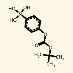 CC(C)(C)OC(=O)Oc1ccc([Si](O)(O)O)cc1